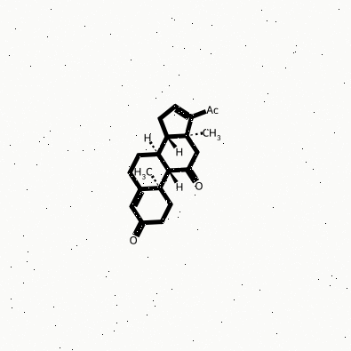 CC(=O)C1=CC[C@H]2[C@@H]3CCC4=CC(=O)CC[C@]4(C)[C@H]3C(=O)C[C@]12C